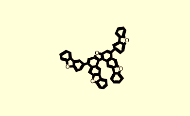 c1ccc2c(c1)oc1ccc(-c3cc4oc5cc(-c6ccc7oc8ccccc8c7c6)c6cc7oc8ccccc8c7cc6c5c4c4cc5c(cc34)oc3ccccc35)cc12